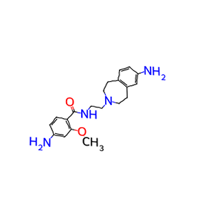 COc1cc(N)ccc1C(=O)NCCN1CCc2ccc(N)cc2CC1